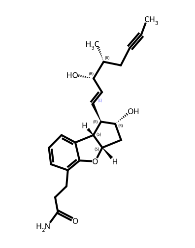 CC#CC[C@@H](C)[C@@H](O)/C=C/[C@@H]1[C@H]2c3cccc(CCC(N)=O)c3O[C@H]2C[C@H]1O